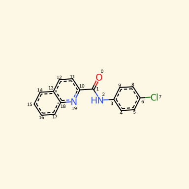 O=C(Nc1ccc(Cl)cc1)c1ccc2ccccc2n1